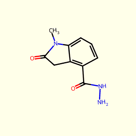 CN1C(=O)Cc2c(C(=O)NN)cccc21